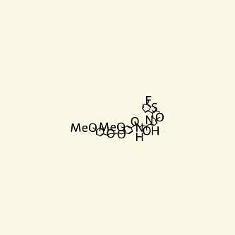 COc1ccc(COCCOc2ccc(C(=O)NCC(O)c3ccc4c(n3)-c3c(sc5c(F)cccc35)CO4)cc2OC)cc1